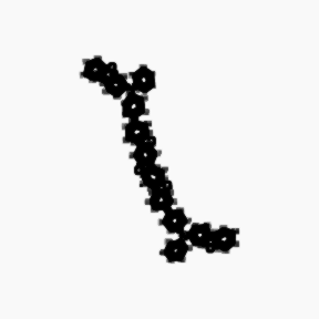 c1ccc(N(c2ccc(-c3ccc4c(c3)oc3cc5c(cc34)oc3cc4c(cc35)oc3cc(-c5ccc(N(c6ccccc6)c6ccc7c(c6)oc6ccccc67)cc5)ccc34)cc2)c2ccc3c(c2)oc2ccccc23)cc1